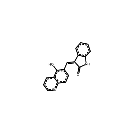 O=C1Nc2ccccc2C1=Cc1ccc2ncccc2c1O